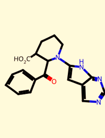 O=C(O)C1CCCN(c2cc3cncnc3[nH]2)C1C(=O)c1ccccc1